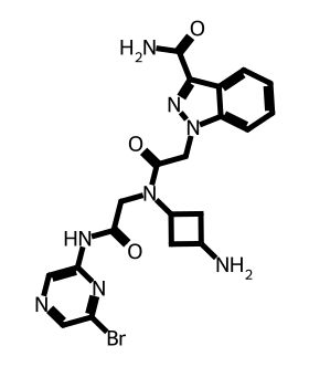 NC(=O)c1nn(CC(=O)N(CC(=O)Nc2cncc(Br)n2)C2CC(N)C2)c2ccccc12